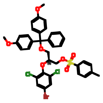 COc1ccc(C(OC[C@@H](COS(=O)(=O)c2ccc(C)cc2)Oc2c(Cl)cc(Br)cc2Cl)(c2ccccc2)c2ccc(OC)cc2)cc1